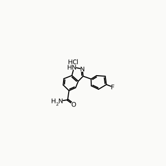 Cl.NC(=O)c1ccc2[nH]nc(-c3ccc(F)cc3)c2c1